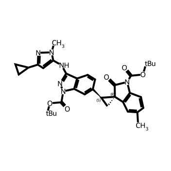 Cc1ccc2c(c1)[C@]1(C[C@H]1c1ccc3c(Nc4cc(C5CC5)nn4C)nn(C(=O)OC(C)(C)C)c3c1)C(=O)N2C(=O)OC(C)(C)C